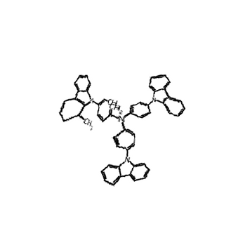 C=C(/C=C\C(=C/C)n1c2c(c3ccccc31)C=CCC2C)N(c1ccc(-n2c3ccccc3c3ccccc32)cc1)c1ccc(-n2c3ccccc3c3ccccc32)cc1